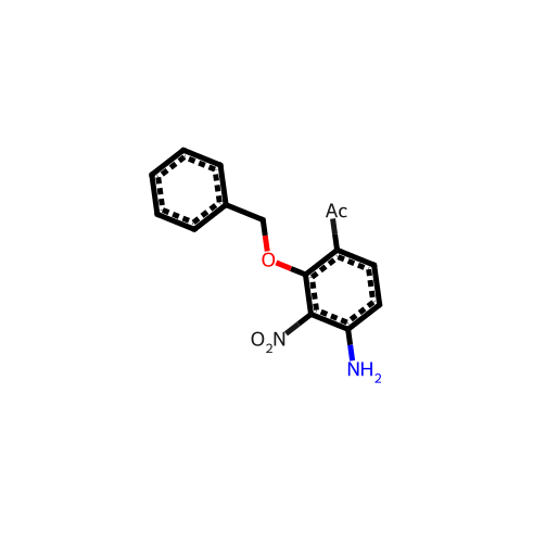 CC(=O)c1ccc(N)c([N+](=O)[O-])c1OCc1ccccc1